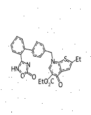 CCOC(=O)c1cn(Cc2ccc(-c3ccccc3-c3nc(=O)o[nH]3)cc2)c2sc(CC)cc2c1=O